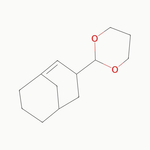 C1=C2CCCC(C2)CC1C1OCCCO1